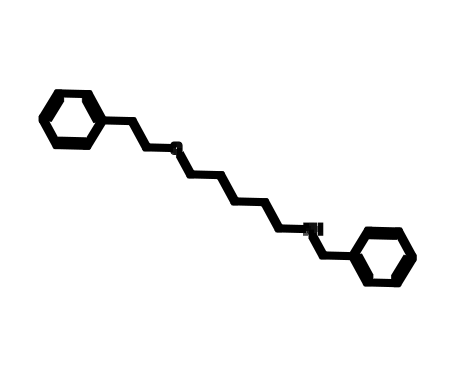 c1ccc(CCOCCCCCNCc2ccccc2)cc1